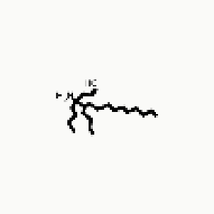 C=CCC(N)(CCCC)C(CCCC)CCCCCCCCCC.Cl